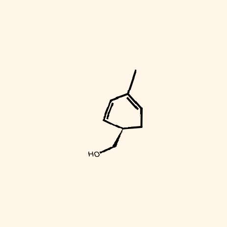 CC1=CC[C@@H](CO)C=C1